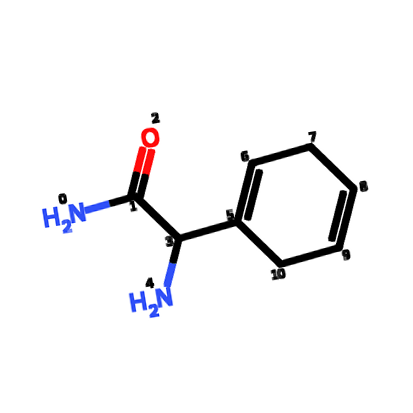 NC(=O)C(N)C1=CCC=CC1